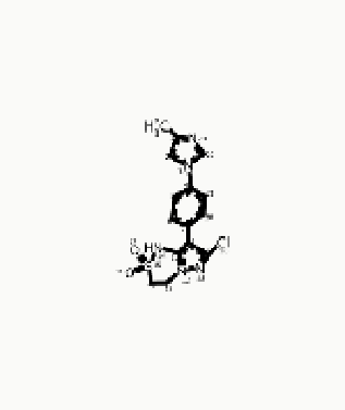 Cc1cn(-c2ccc(-c3c(Cl)nn4c3NS(=O)(=O)CC4)cc2)cn1